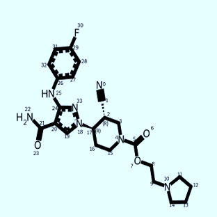 N#C[C@@H]1CN(C(=O)OCCN2CCCC2)CC[C@H]1n1cc(C(N)=O)c(Nc2ccc(F)cc2)n1